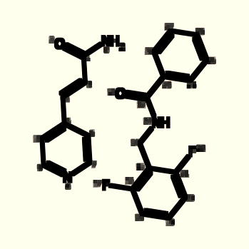 NC(=O)/C=C/c1ccncc1.O=C(NCc1c(F)cccc1F)c1ccccc1